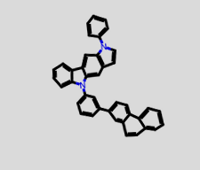 c1ccc(-n2ccc3cc4c(cc32)c2ccccc2n4-c2cccc(-c3ccc4c(ccc5ccccc54)c3)c2)cc1